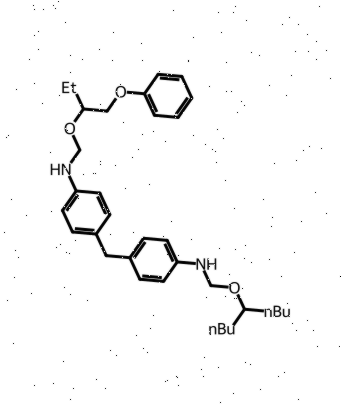 CCCCC(CCCC)OCNc1ccc(Cc2ccc(NCOC(CC)COc3ccccc3)cc2)cc1